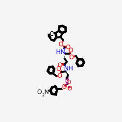 O=C(CC[C@H](NC(=O)OCC1c2ccccc2-c2ccccc21)C(=O)OCc1ccccc1)N[C@@H](CCO[PH](=O)OCc1ccc([N+](=O)[O-])cc1)C(=O)OCc1ccccc1